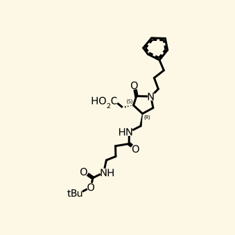 CC(C)(C)OC(=O)NCCCC(=O)NC[C@@H]1CN(CCCc2ccccc2)C(=O)[C@H]1CC(=O)O